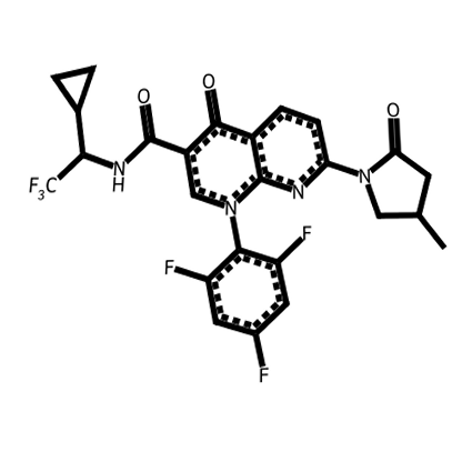 CC1CC(=O)N(c2ccc3c(=O)c(C(=O)NC(C4CC4)C(F)(F)F)cn(-c4c(F)cc(F)cc4F)c3n2)C1